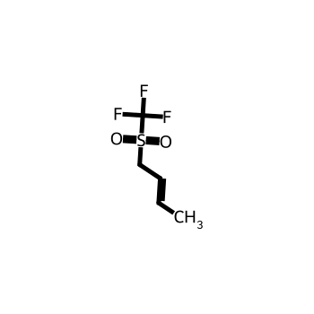 CC=CCS(=O)(=O)C(F)(F)F